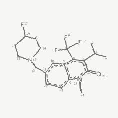 CC(C)c1c(C(F)(F)F)c2cc(CN3CCC(F)CC3)ccc2n(C)c1=O